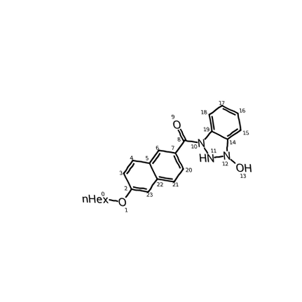 CCCCCCOc1ccc2cc(C(=O)N3NN(O)c4ccccc43)ccc2c1